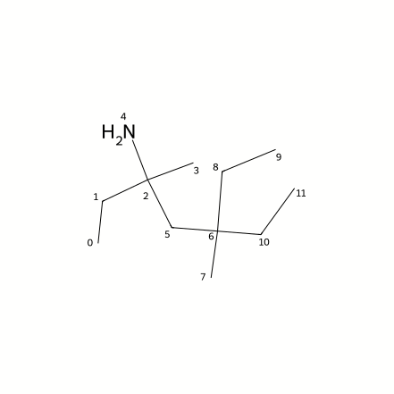 CCC(C)(N)CC(C)(CC)CC